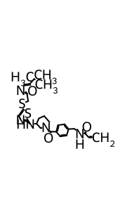 C=CC(=O)NCc1ccc(C(=O)N2CCCC(Nc3ncc(SCc4ncc(C(C)(C)C)o4)s3)C2)cc1